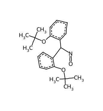 CC(C)(C)Oc1ccccc1C(N=O)c1ccccc1OC(C)(C)C